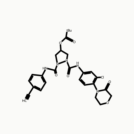 C#Cc1ccc(NC(=O)N2CC(OC(=O)C(C)(C)C)CN2C(=O)Nc2ccc(N3CCOCC3=O)c(Cl)c2)cc1